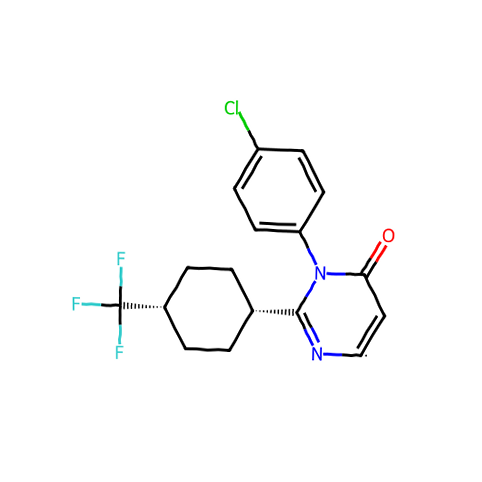 O=c1c[c]nc([C@H]2CC[C@@H](C(F)(F)F)CC2)n1-c1ccc(Cl)cc1